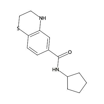 O=C(NC1CCCC1)c1ccc2c(c1)NCCS2